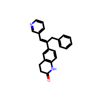 O=C1CCc2cc(C(=Cc3cccnc3)Cc3ccccc3)ccc2N1